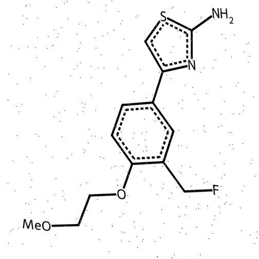 COCCOc1ccc(-c2csc(N)n2)cc1CF